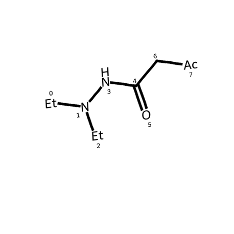 CCN(CC)NC(=O)CC(C)=O